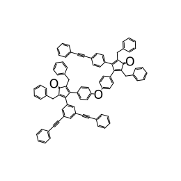 O=C1C(Cc2ccccc2)=C(c2ccc(C#Cc3ccccc3)cc2)C(c2ccc(Oc3ccc(C4=C(Cc5ccccc5)C(=O)C(Cc5ccccc5)=C4c4cc(C#Cc5ccccc5)cc(C#Cc5ccccc5)c4)cc3)cc2)=C1Cc1ccccc1